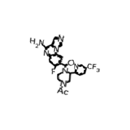 CC(=O)N1CCN(C(=O)c2cc3c(cc2F)nc(N)c2cncn23)C(c2ccc(C(F)(F)F)cn2)C1